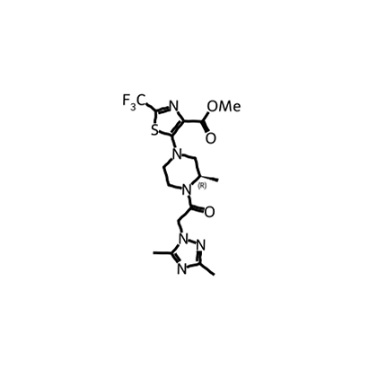 COC(=O)c1nc(C(F)(F)F)sc1N1CCN(C(=O)Cn2nc(C)nc2C)[C@H](C)C1